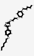 CCCCCCOc1ccc(-c2nnc(OCCC[C@H]3CC[C@H](CCCCC)CC3)s2)cc1